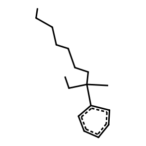 CCCCCCCC(C)(CC)c1ccccc1